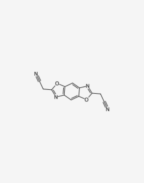 N#CCc1nc2cc3oc(CC#N)nc3cc2o1